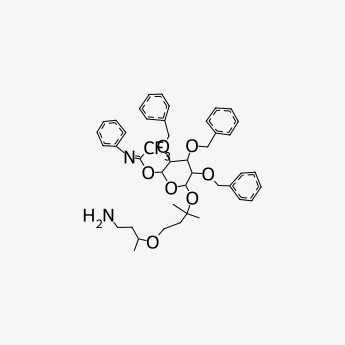 CC(CCN)OCCC(C)(C)OC1OC(O/C(=N/c2ccccc2)C(F)(F)F)C(OCc2ccccc2)C(OCc2ccccc2)C1OCc1ccccc1